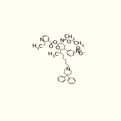 CCOC(C)=NC1CC(c2cccc([N+](=O)[O-])c2)C(C(C)CCCCCN2CCC(c3ccccc3)(c3ccccc3)CC2)OC1OC(=O)c1cccnc1CC